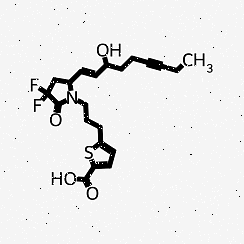 CCC#CCCC(O)C=CC1CC(F)(F)C(=O)N1CCCc1ccc(C(=O)O)s1